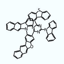 c1ccc2cc3c(cc2c1)oc1cc(-c2nc(-c4cccc5sc6ccccc6c45)nc(-n4c5ccccc5c5ccccc54)n2)c(-n2c4ccccc4c4cc5ccccc5cc42)cc13